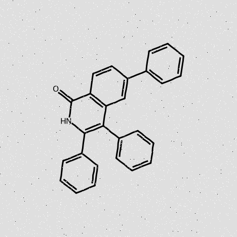 O=c1[nH]c(-c2ccccc2)c(-c2ccccc2)c2cc(-c3ccccc3)ccc12